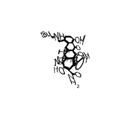 CN(C)[C@H]1C(O)=C(C(N)=O)C(=O)[C@@]2(O)C(O)=C3C(=O)c4c(O)ccc(CNCC(C)(C)C)c4C[C@H]3C[C@@H]12